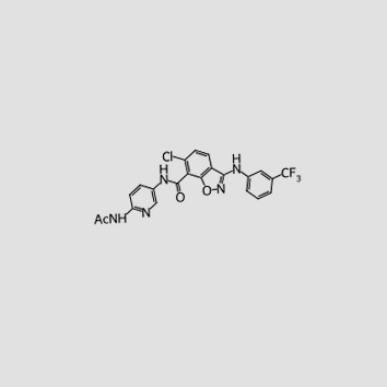 CC(=O)Nc1ccc(NC(=O)c2c(Cl)ccc3c(Nc4cccc(C(F)(F)F)c4)noc23)cn1